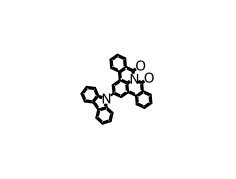 O=c1c2ccccc2c2cc(-n3c4ccccc4c4ccccc43)cc3c4ccccc4c(=O)n1c23